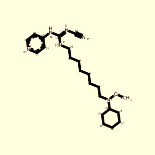 CON(CCCCCCCCN/C(=N\C#N)Nc1ccncc1)C1CCCCC1